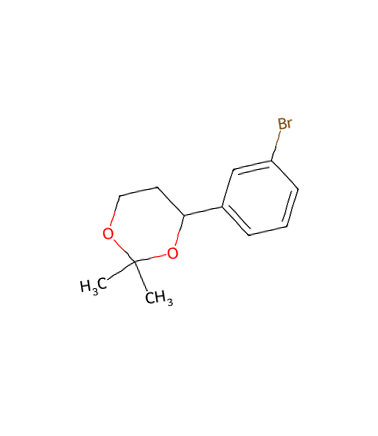 CC1(C)OCCC(c2cccc(Br)c2)O1